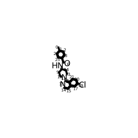 Cc1ccc(C(=O)NC2CCN(c3nccc4cc(Cl)ccc34)CC2)cc1